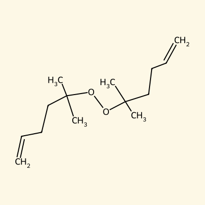 C=CCCC(C)(C)OOC(C)(C)CCC=C